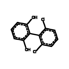 Oc1cccc(O)c1-c1c(Cl)cccc1Cl